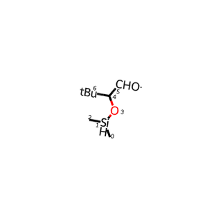 C[SiH](C)OC([C]=O)C(C)(C)C